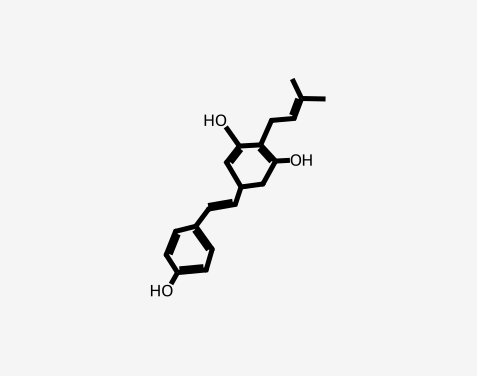 CC(C)=CCC1=C(O)CC(C=Cc2ccc(O)cc2)C=C1O